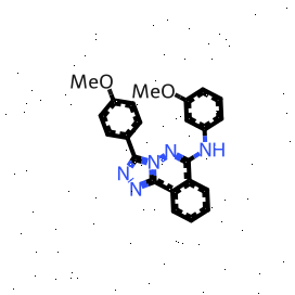 COc1ccc(-c2nnc3c4ccccc4c(Nc4cccc(OC)c4)nn23)cc1